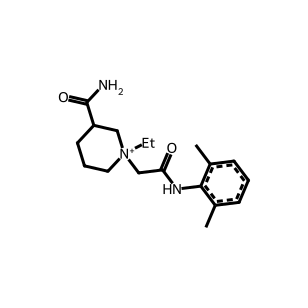 CC[N+]1(CC(=O)Nc2c(C)cccc2C)CCCC(C(N)=O)C1